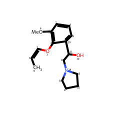 C/C=C\Oc1c(OC)cccc1C(O)CN1CCCC1